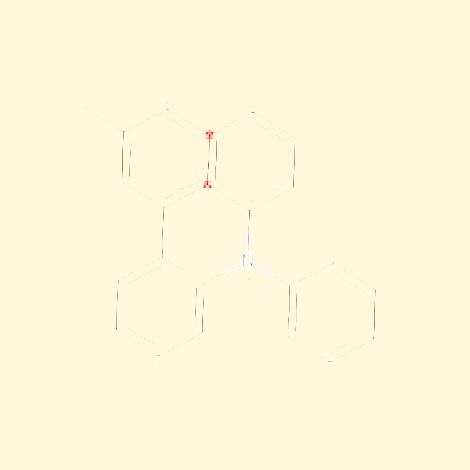 Cc1cccc(-c2ccccc2N(c2ccccc2)c2ccccc2)c1